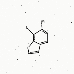 CC(C)c1ccc2ccoc2c1I